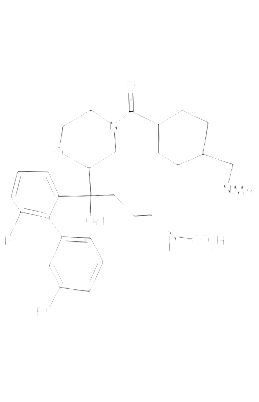 CCc1cccc(-c2c(F)cccc2C(O)(CCCNC(=O)O)C2CN(C(=O)C3CCC(CNC)CC3)CCO2)c1